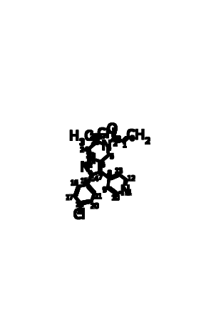 C=CC(=O)N1Cc2c(-c3ccncc3)c(-c3ccc(Cl)cc3)nn2CC1(C)C